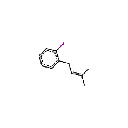 CC(C)=CCc1ccccc1I